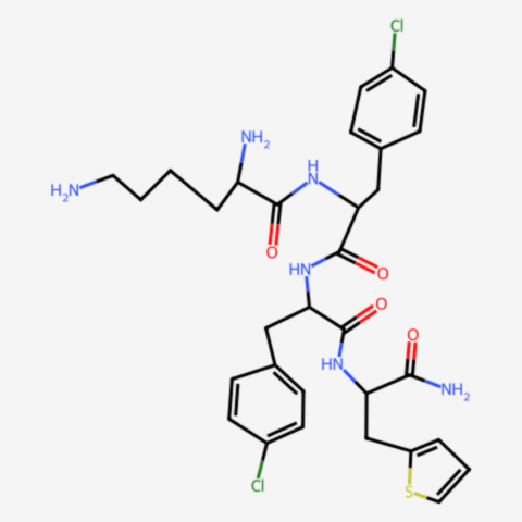 NCCCCC(N)C(=O)NC(Cc1ccc(Cl)cc1)C(=O)NC(Cc1ccc(Cl)cc1)C(=O)NC(Cc1cccs1)C(N)=O